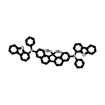 CC(C)(C)C1(C(C)(C)C)c2c(ccc3cc(N(c4ccccc4)c4cccc5c4oc4ccccc45)ccc23)-c2ccc3cc(N(c4ccccc4)c4cccc5c4oc4ccccc45)ccc3c21